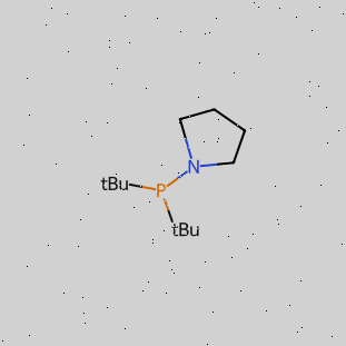 CC(C)(C)P(N1CCCC1)C(C)(C)C